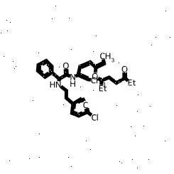 C\C=C(/C=C\C(=C/C)OC(CC)CCC(=O)CC)NC(=O)C(NCCc1ccc(Cl)cc1)c1ccccc1